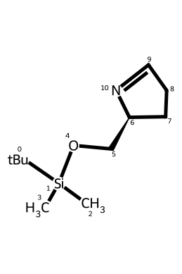 CC(C)(C)[Si](C)(C)OC[C@@H]1CCC=N1